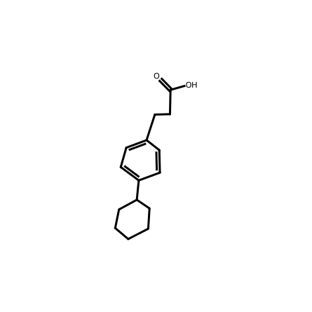 O=C(O)CCc1ccc(C2CCCCC2)cc1